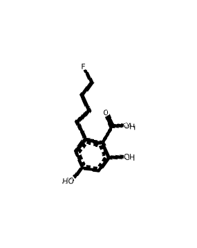 O=C(O)c1c(O)cc(O)cc1CCCCF